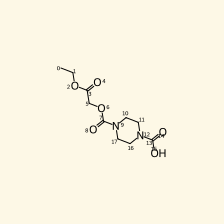 CCOC(=O)COC(=O)N1CCN(C(=O)O)CC1